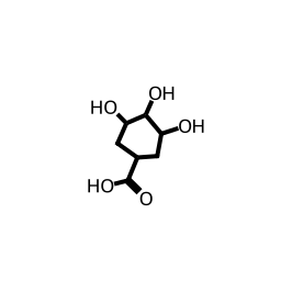 O=C(O)C1CC(O)C(O)C(O)C1